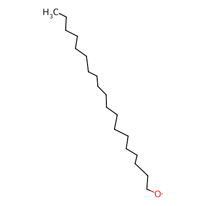 CCCCCCCCCCCCCCCCCCC[O]